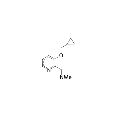 CNCc1ncccc1OCC1CC1